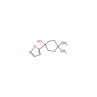 CC1(C)CCC(O)(c2ccno2)CC1